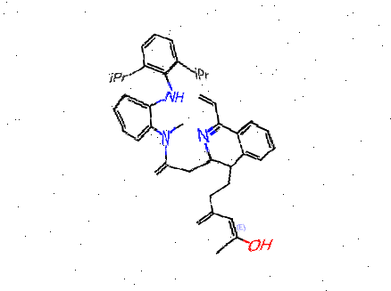 C=CC1=NC(CC(=C)N(C)c2ccccc2Nc2c(C(C)C)cccc2C(C)C)C(CCC(=C)/C=C(\C)O)c2ccccc21